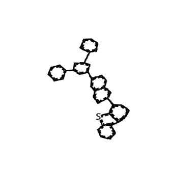 c1ccc(-c2cc(-c3ccccc3)cc(-c3ccc4cc(-c5cccc6c5sc5ccccc56)ccc4c3)c2)cc1